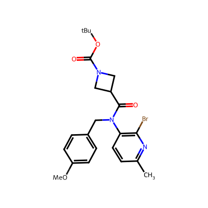 COc1ccc(CN(C(=O)C2CN(C(=O)OC(C)(C)C)C2)c2ccc(C)nc2Br)cc1